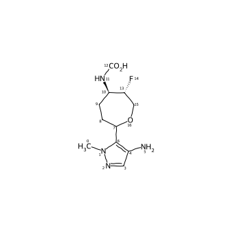 Cn1ncc(N)c1C1CC[C@@H](NC(=O)O)[C@H](F)CO1